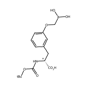 CC(C)(C)OC(=O)N[C@H](Cc1cccc(OCB(O)O)c1)C(=O)O